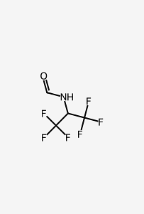 O=CNC(C(F)(F)F)C(F)(F)F